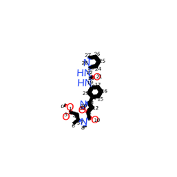 COC(=O)CC(C)N(C)C(=O)c1cc(-c2cccc(NC(=O)Nc3ccccn3)c2)no1